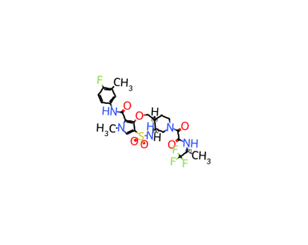 Cc1cc(NC(=O)c2c3c(cn2C)S(=O)(=O)N[C@@H]2CN(C(=O)C(=O)N[C@H](C)C(F)(F)F)CC[C@H]2CO3)ccc1F